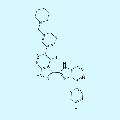 Fc1ccc(-c2nccc3[nH]c(-c4n[nH]c5cnc(-c6cncc(CN7CCCCC7)c6)c(F)c45)nc23)cc1